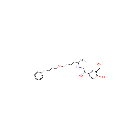 CC(CCCCOCCCCc1ccccc1)NCC(O)c1ccc(O)c(CO)c1